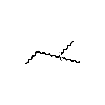 CCCC/C=C/C=C\CCCCCCCC(OCCCCCCC)OCCCCCCC